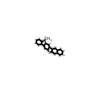 Cn1c2ccccc2c2cc3sc4cc5ccccc5cc4c3cc21